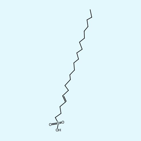 CCCCCCCCCCCCCCCCC=CCCCS(=O)(=O)O